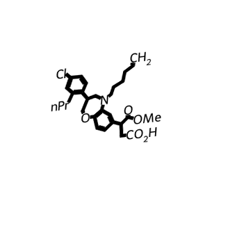 C=CCCCCN1CC(c2ccc(Cl)cc2CCC)COc2ccc(C(CC(=O)O)C(=O)OC)cc21